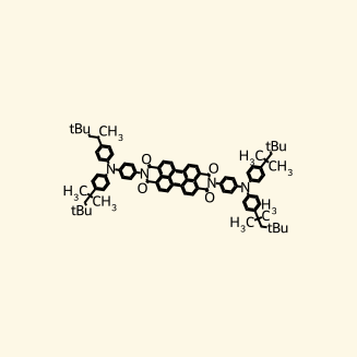 CC(CC(C)(C)C)c1ccc(N(c2ccc(N3C(=O)c4ccc5c6ccc7c8c(ccc(c9ccc(c4c59)C3=O)c86)C(=O)N(c3ccc(N(c4ccc(C(C)(C)CC(C)(C)C)cc4)c4ccc(C(C)(C)CC(C)(C)C)cc4)cc3)C7=O)cc2)c2ccc(C(C)(C)CC(C)(C)C)cc2)cc1